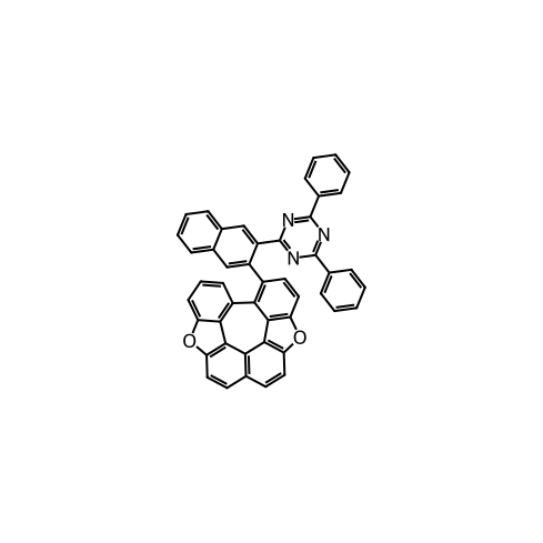 c1ccc(-c2nc(-c3ccccc3)nc(-c3cc4ccccc4cc3-c3ccc4oc5ccc6ccc7oc8cccc9c8c7c6c5c4c3-9)n2)cc1